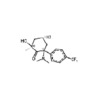 CN(C)[C@]1(c2ccc(C(F)(F)F)cc2)CCC[C@](C)(O)C1=O.Cl